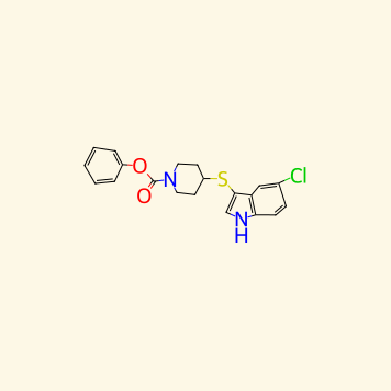 O=C(Oc1ccccc1)N1CCC(Sc2c[nH]c3ccc(Cl)cc23)CC1